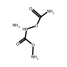 N.NOC(=O)NOC(N)=O